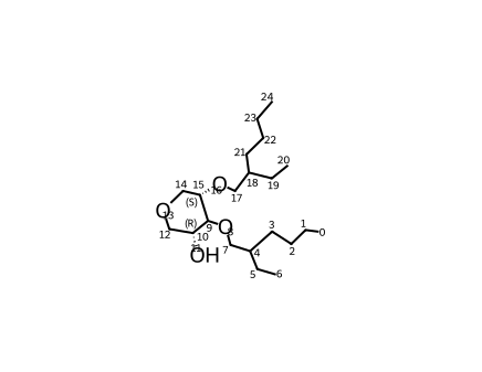 CCCCC(CC)COC1[C@H](O)COC[C@@H]1OCC(CC)CCCC